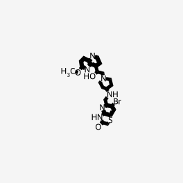 COc1ccc2nccc(C(O)CN3CCC(NCc4nc5c(cc4Br)SCC(=O)N5)CC3)c2n1